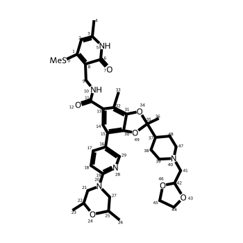 CSc1cc(C)[nH]c(=O)c1CNC(=O)c1cc(-c2ccc(N3CC(C)OC(C)C3)nc2)c2c(c1C)OC(C)(C1CCN(CC3OCCO3)CC1)O2